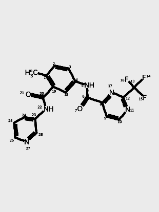 Cc1ccc(NC(=O)c2ccnc(C(F)(F)F)n2)cc1C(=O)Nc1cccnc1